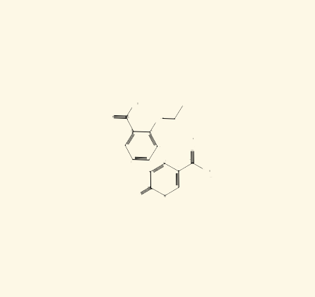 CCOc1ccccc1C(=O)O.O=C1C=CC(C(=O)O)=CC1